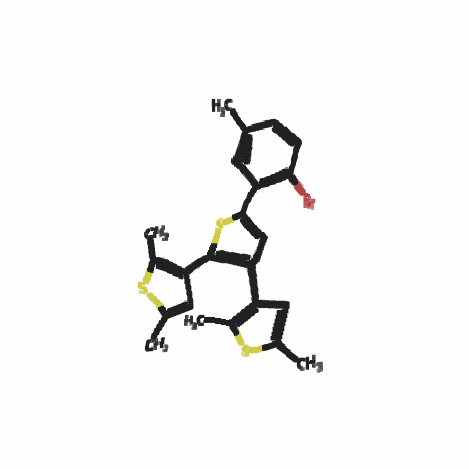 Cc1ccc(Br)c(-c2cc(-c3cc(C)sc3C)c(-c3cc(C)sc3C)s2)c1